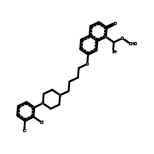 CC(C)C(OC=O)n1c(=O)ccc2ccc(OCCCCN3CCN(c4cccc(Cl)c4Cl)CC3)cc21